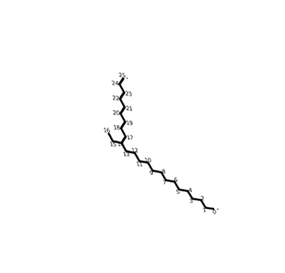 [CH2]CCCCCCCCCCCCCC(CC)CCCCCCCC[CH2]